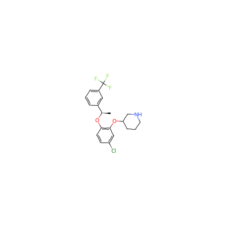 C[C@@H](Oc1ccc(Cl)cc1OC1CCCNC1)c1cccc(C(F)(F)F)c1